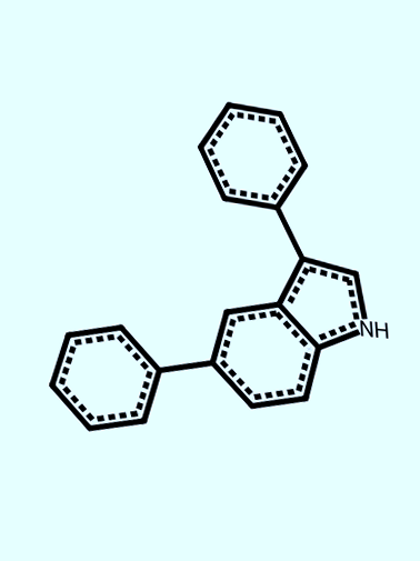 c1ccc(-c2ccc3[nH]cc(-c4ccccc4)c3c2)cc1